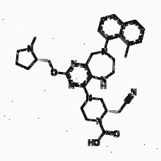 Cc1cccc2cccc(N3CCNc4c(nc(OC[C@@H]5CCCN5C)nc4N4CCN(C(=O)O)[C@@H](CC#N)C4)C3)c12